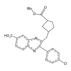 CC(C)(C)OC(=O)C1CCC(Cc2nc3cc(C(=O)O)ccc3nc2-c2ccc(Cl)cc2)C1